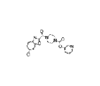 O=C(Oc1cccnc1)N1CCN(C(=O)c2nc3ccc(Cl)cc3o2)CC1